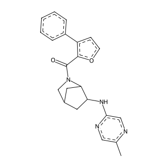 Cc1cnc(NC2CC3CC2N(C(=O)c2occc2-c2ccccc2)C3)cn1